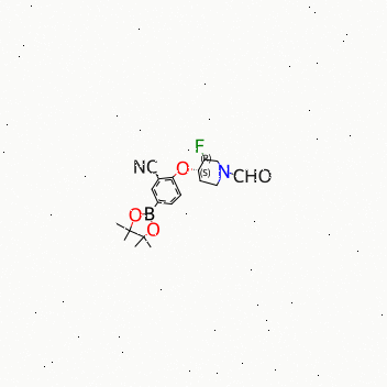 CC1(C)OB(c2ccc(O[C@H]3CCN(C=O)C[C@H]3F)c(C#N)c2)OC1(C)C